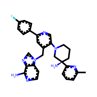 Cc1cccc([C@@]2(N)CCCN(c3cnc(-c4ccc(F)cc4)cc3Cn3cnc4c(N)nccc43)C2)n1